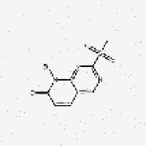 CCn1c(=O)ccc2cnc(S(C)(=O)=O)nc21